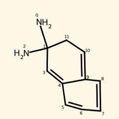 NC1(N)C=c2ccccc2=CC1